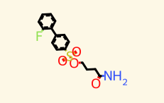 NC(=O)CCCOS(=O)(=O)c1ccc(-c2ccccc2F)cc1